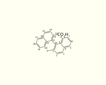 Cc1ccc2ccccc2c1-c1c(C(=O)O)ccc2ccccc12